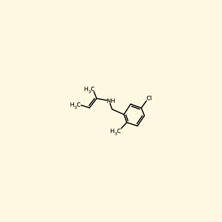 CC=C(C)NCc1cc(Cl)ccc1C